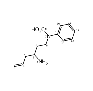 C=CCC(N)CCN(C(=O)O)c1ccccc1